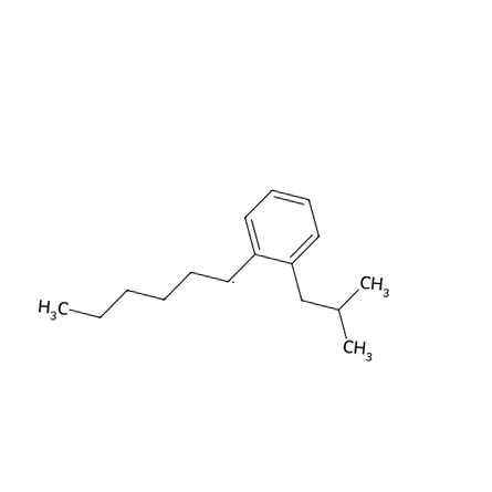 CCCCC[CH]c1ccccc1CC(C)C